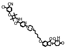 CC1(C)C(NC(=O)c2ccc(N3CCN(CCCCCOc4ccc5c(c4)C(=O)N(C4CCC(=O)NC4=O)C5)CC3)nc2)C(C)(C)C1Oc1ccc(C#N)c(Cl)c1